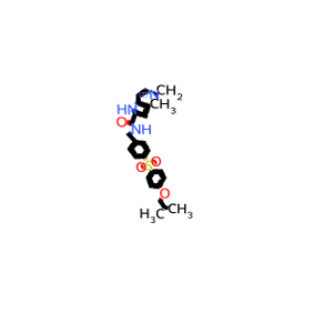 C=N/C=C\c1[nH]c(C(=O)NCc2ccc(S(=O)(=O)c3ccc(OCC(C)C)cc3)cc2)cc1C